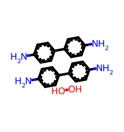 Nc1ccc(-c2ccc(N)cc2)cc1.Nc1ccc(-c2ccc(N)cc2)cc1.OO